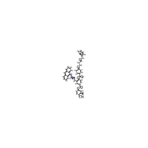 N#Cc1ccc(OC(=O)c2ccc(OC(=O)c3ccc(OCCCOCC4CCC5CC4O5)cc3)c(/C=N/N=C/c3c4ccccc4cc4ccccc34)c2)cc1F